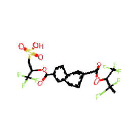 CC(F)(F)C(OC(=O)c1ccc2cc(C(=O)OC(CS(=O)(=O)O)C(F)(F)F)ccc2c1)C(F)(F)F